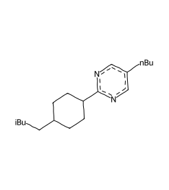 CCCCc1cnc(C2CCC(CC(C)CC)CC2)nc1